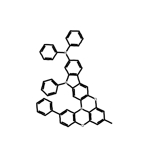 Cc1cc2c3c(c1)Oc1cc4c5ccc(N(c6ccccc6)c6ccccc6)cc5n(-c5ccccc5)c4cc1B3c1cc(-c3ccccc3)ccc1O2